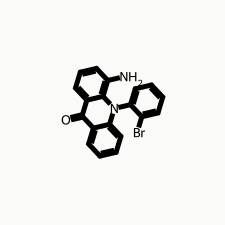 Nc1cccc2c(=O)c3ccccc3n(-c3ccccc3Br)c12